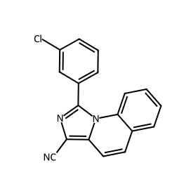 N#Cc1nc(-c2cccc(Cl)c2)n2c1ccc1ccccc12